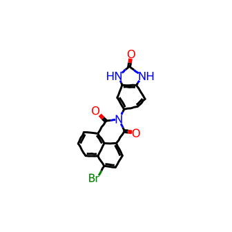 O=C1c2cccc3c(Br)ccc(c23)C(=O)N1c1ccc2[nH]c(=O)[nH]c2c1